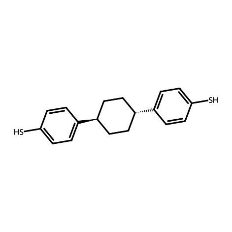 Sc1ccc([C@H]2CC[C@H](c3ccc(S)cc3)CC2)cc1